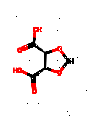 O=C(O)[C@@H]1OBO[C@H]1C(=O)O